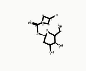 N=C(S[C@@H]1CC(O)[C@H](O)C(CO)O1)N1CC(F)C1